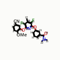 COc1ccc(C#N)cc1Oc1nc(Oc2cccc(C(=O)N(C)C)c2)c(F)c(C)c1F